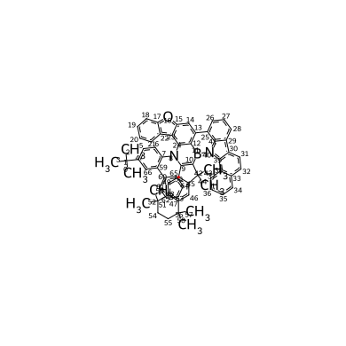 CC(C)(C)c1ccc(N2C3=C(B4c5c(cc6oc7ccccc7c6c52)-c2cccc5c6ccc7ccccc7c6n4c25)C(C)(C)c2cc4c(cc23)C(C)(C)CCC4(C)C)c(-c2ccccc2)c1